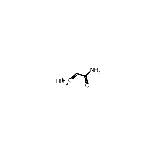 C=CC(N)=O.[LiH]